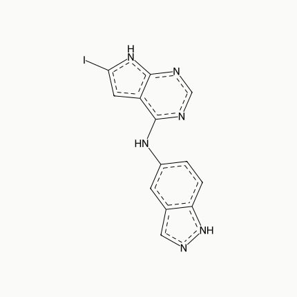 Ic1cc2c(Nc3ccc4[nH]ncc4c3)ncnc2[nH]1